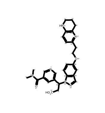 CN(C)C(=O)c1cncc(C(CC(=O)O)n2ncc3cc(OCCc4ccc5c(n4)CCCN5)ccc32)c1